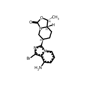 C[C@H]1OC(=O)N2C[C@H](c3nc(Br)c4c(N)cccn34)CC[C@@H]12